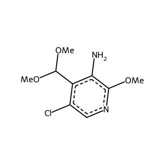 COc1ncc(Cl)c(C(OC)OC)c1N